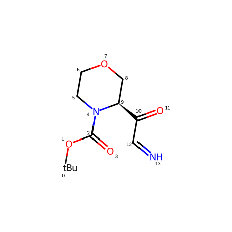 CC(C)(C)OC(=O)N1CCOC[C@H]1C(=O)C=N